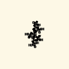 CP(=O)(O)CN(CCN(CCN(CP(=O)(O)O)CP(=O)(O)O)CP(=O)(O)O)CP(=O)(O)O